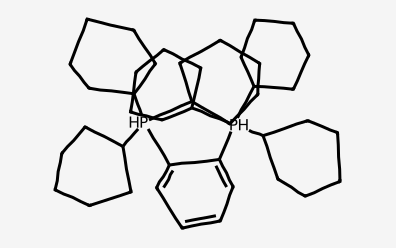 c1ccc([PH](C2CCCCC2)(C2CCCCC2)C2CCCCC2)c([PH](C2CCCCC2)(C2CCCCC2)C2CCCCC2)c1